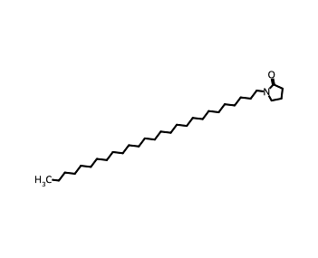 CCCCCCCCCCCCCCCCCCCCCCCCCCCN1CCCC1=O